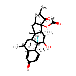 CCCC(=O)O[C@]1(C(=O)COC(C)=O)C(C)C[C@H]2[C@@H]3CC(C)C4=CC(=O)C=C[C@]4(C)[C@@]3(F)C(O)C[C@@]21C